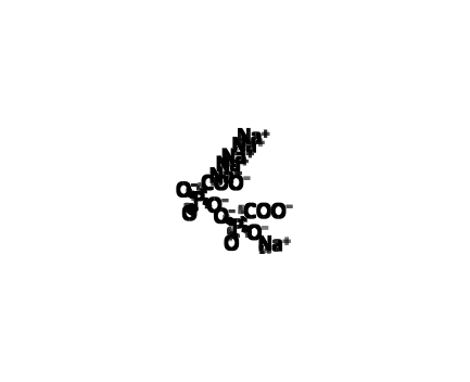 O=C([O-])P(=O)([O-])[O-].O=C([O-])P(=O)([O-])[O-].[Na+].[Na+].[Na+].[Na+].[Na+].[Na+]